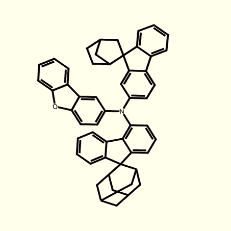 c1ccc2c(c1)-c1ccc(N(c3ccc4oc5ccccc5c4c3)c3cccc4c3-c3ccccc3C43C4CC5CC(C4)CC3C5)cc1C21CC2CCC1C2